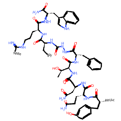 CNC(=N)NCCC[C@H](NC(=O)[C@H](CC(C)C)NC(=O)NNC(=O)[C@H](Cc1ccccc1)NC(=O)[C@@H](NC(=O)[C@H](CC(N)=O)NC(=O)[C@@H](CCC(N)=O)NC(=O)[C@@H](Cc1ccc(O)cc1)NC(C)=O)[C@@H](C)O)C(=O)N[C@@H](Cc1c[nH]c2ccccc12)C(N)=O